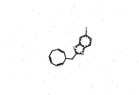 Fc1ccc2nc(CC3C=CC/C=C\C=C/3)oc2c1